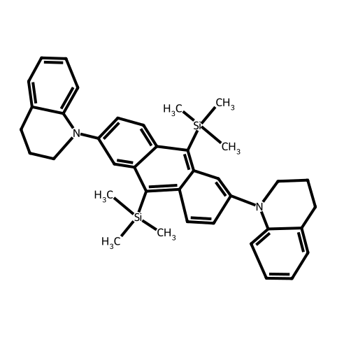 C[Si](C)(C)c1c2ccc(N3CCCc4ccccc43)cc2c([Si](C)(C)C)c2ccc(N3CCCc4ccccc43)cc12